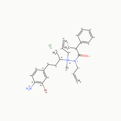 C=CCN(C(=O)C(C)c1ccccc1)[N+](CC)(CC=C)C(C)CCc1ccc(N)c(Br)c1.[Cl-]